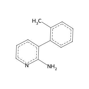 Cc1ccccc1-c1cccnc1N